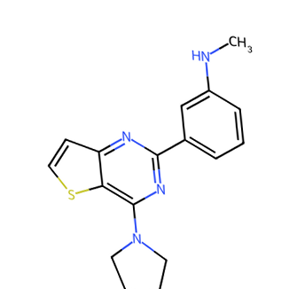 CNc1cccc(-c2nc(N3CCCC3)c3sccc3n2)c1